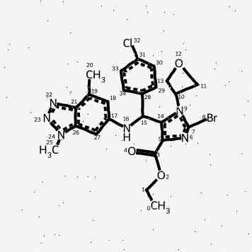 CCOC(=O)c1nc(Br)n(C2COC2)c1C(Nc1cc(C)c2nnn(C)c2c1)c1ccc(Cl)cc1